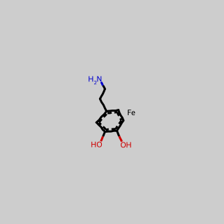 NCCc1ccc(O)c(O)c1.[Fe]